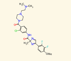 COc1ccc(C2=NC(C)(C(=O)Nc3ccc(C(=O)N4CCN(CCN(C)C)CC4)c(Cl)c3)N=C2)c(F)c1F